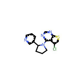 Clc1csc2ncnc(N3CCCC3c3cccnc3)c12